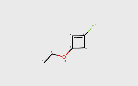 CCOC1C=C(F)C1